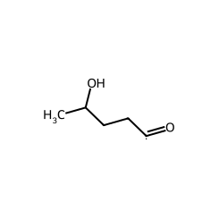 CC(O)CC[C]=O